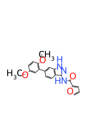 COc1ccc(OC)c(-c2ccc3c(NC(=O)c4ccco4)n[nH]c3c2)c1